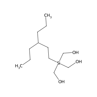 CCCC(CCC)CC[Si](CO)(CO)CO